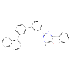 Cc1nc(-c2cccc(-c3cccc(-c4cccc5ccccc45)c3)c2)nc2c1oc1ccccc12